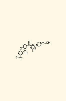 CCC(C)(C)c1ccc(Oc2ccc(Nc3nc(C)nc(N4CCN(CCO)CC4)n3)cc2)c(C(C)(C)CC)c1